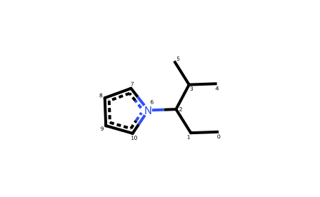 CCC(C(C)C)n1cccc1